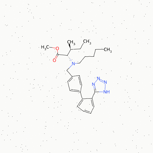 CCCCCN(Cc1ccc(-c2ccccc2-c2nnn[nH]2)cc1)[C@H](C(=O)OC)[C@@H](C)CC